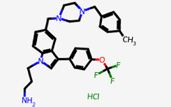 Cc1ccc(CN2CCN(Cc3ccc4c(c3)c(-c3ccc(OC(F)(F)F)cc3)cn4CCCN)CC2)cc1.Cl